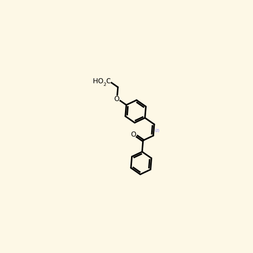 O=C(O)COc1ccc(/C=C\C(=O)c2ccccc2)cc1